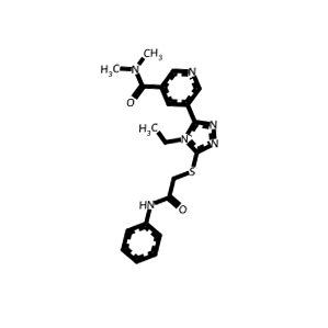 CCn1c(SCC(=O)Nc2ccccc2)nnc1-c1cncc(C(=O)N(C)C)c1